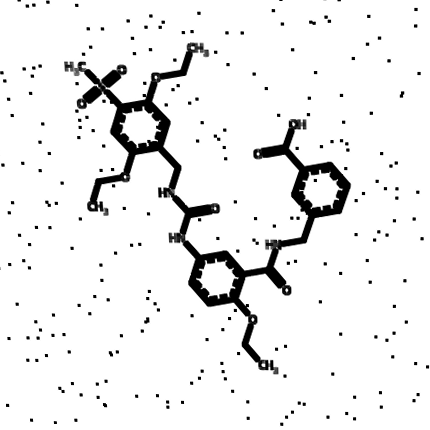 CCOc1cc(S(C)(=O)=O)c(OCC)cc1CNC(=O)Nc1ccc(OCC)c(C(=O)NCc2cccc(C(=O)O)c2)c1